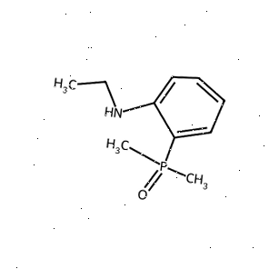 CCNc1ccccc1P(C)(C)=O